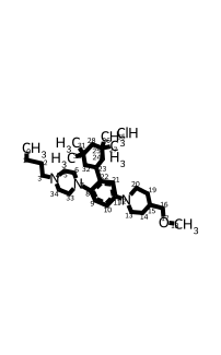 CCCCN1CCN(c2ccc(N3CCC(COC)CC3)cc2C2CC(C)(C)CC(C)(C)C2)CC1.Cl